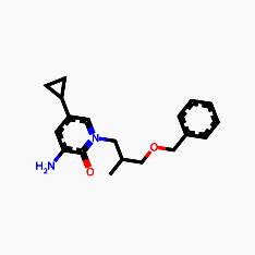 CC(COCc1ccccc1)Cn1cc(C2CC2)cc(N)c1=O